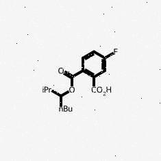 CCCCC(OC(=O)c1ccc(F)cc1C(=O)O)C(C)C